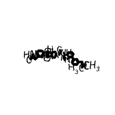 CC(CN1CCN(S(=O)(=O)c2ccc3c(c2)CC(=O)N3)CC1)Nc1ncnc2c(-c3cccc(CN(C)C)c3)cccc12